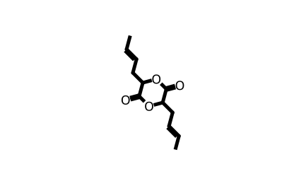 CC=CCC1OC(=O)C(CC=CC)OC1=O